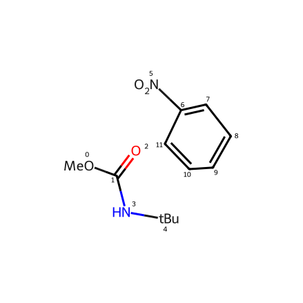 COC(=O)NC(C)(C)C.O=[N+]([O-])c1ccccc1